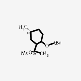 CO[C@@H](C)C1C[C@H](C)CCC1OC(C)(C)C